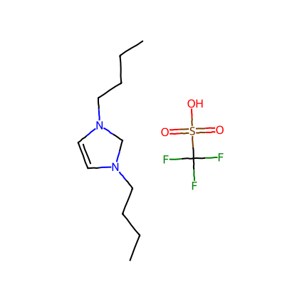 CCCCN1C=CN(CCCC)C1.O=S(=O)(O)C(F)(F)F